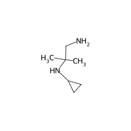 CC(C)(CN)NC1CC1